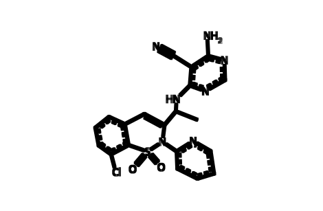 CC(Nc1ncnc(N)c1C#N)C1=Cc2cccc(Cl)c2S(=O)(=O)N1c1ccccn1